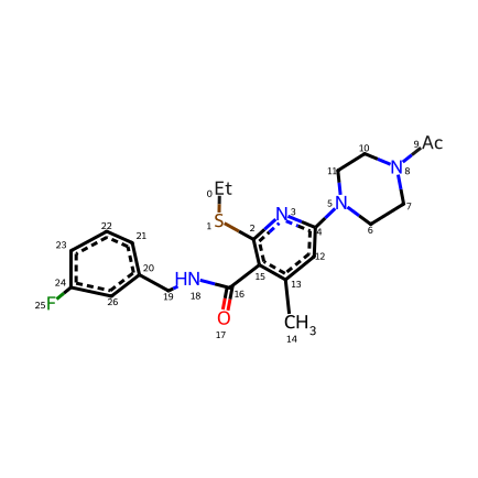 CCSc1nc(N2CCN(C(C)=O)CC2)cc(C)c1C(=O)NCc1cccc(F)c1